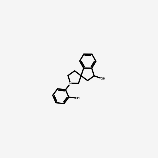 CC(C)c1ccccc1N1CCC2(CC(O)c3ccccc32)C1